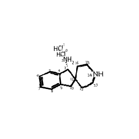 Cl.Cl.N[C@H]1c2ccccc2CC12CCNCC2